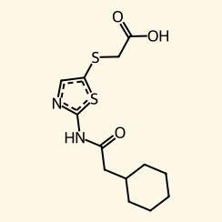 O=C(O)CSc1cnc(NC(=O)CC2CCCCC2)s1